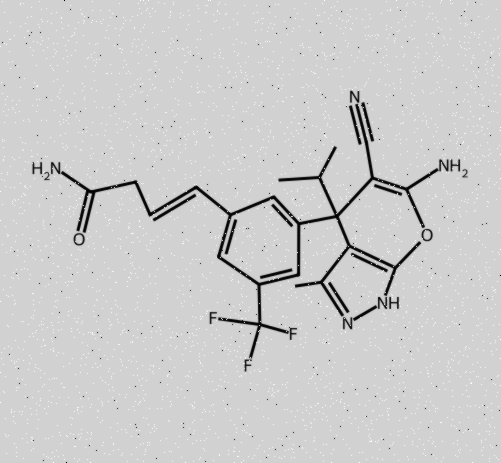 Cc1n[nH]c2c1C(c1cc(C=CCC(N)=O)cc(C(F)(F)F)c1)(C(C)C)C(C#N)=C(N)O2